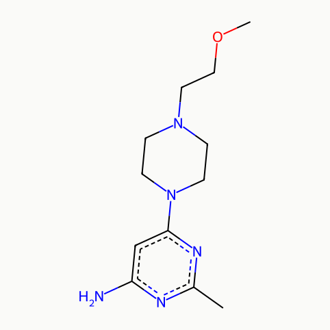 COCCN1CCN(c2cc(N)nc(C)n2)CC1